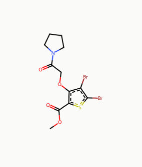 COC(=O)c1sc(Br)c(Br)c1OCC(=O)N1CCCC1